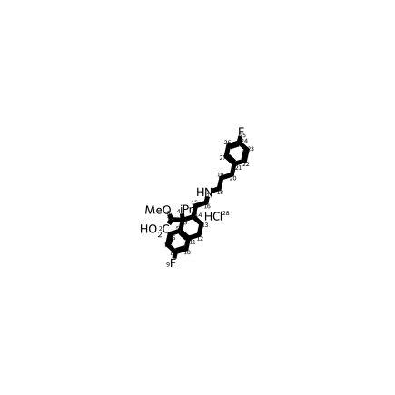 COC(C(=O)O)C1(C(C)C)c2ccc(F)cc2CCC1CCNCCCc1ccc(F)cc1.Cl